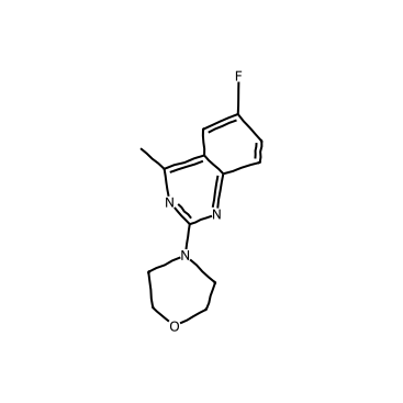 Cc1nc(N2CCOCC2)nc2ccc(F)cc12